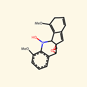 COC1=C2C(=CC34OCOC3c3cccc(OC)c3N(O)C24)C=CC1